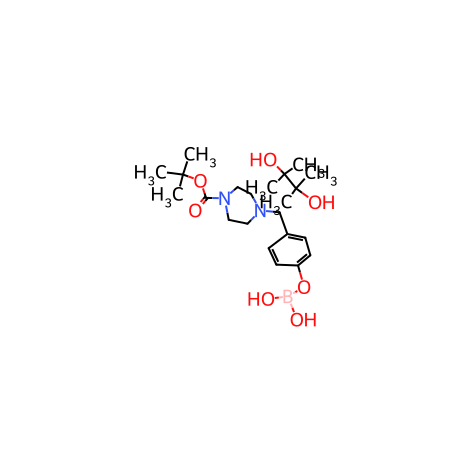 CC(C)(C)OC(=O)N1CCN(Cc2ccc(OB(O)O)cc2)CC1.CC(C)(O)C(C)(C)O